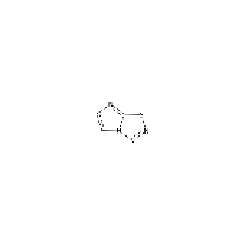 c1cn2nnsc2n1